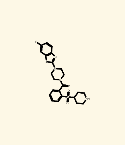 O=C(c1ccccc1S(=O)(=O)C1CCNCC1)N1CCN(c2nc3ccc(F)cc3s2)CC1